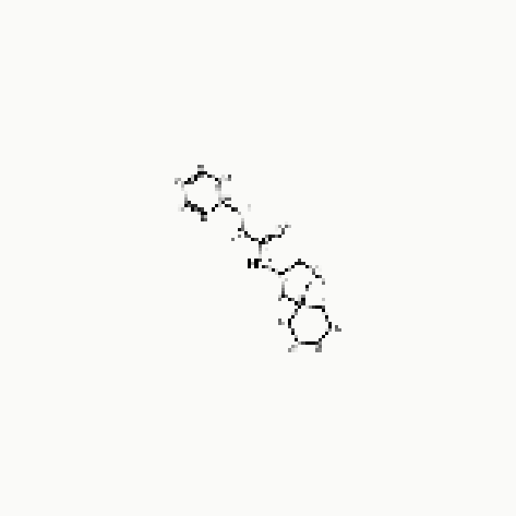 CC1(CC(CO)NC(=O)OCc2ccccc2)CCCCC1